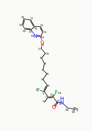 CC(C(F)=CCCCCCCCOc1ccc2ccccc2n1)=C(F)C(=O)NCC(C)C